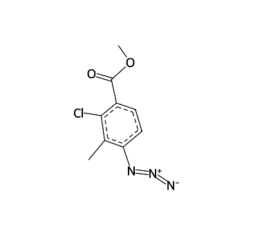 COC(=O)c1ccc(N=[N+]=[N-])c(C)c1Cl